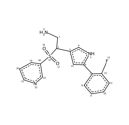 NCC(c1c[nH]c(-c2ccccc2F)c1)S(=O)(=O)c1cccnc1